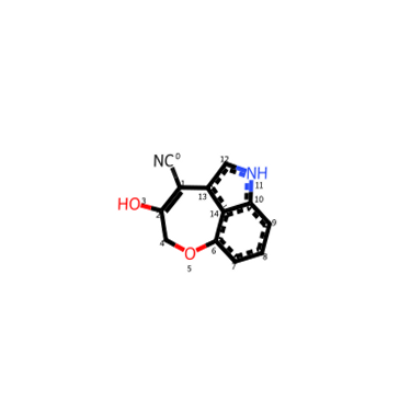 N#CC1=C(O)COc2cccc3[nH]cc1c23